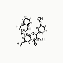 C#Cc1cccc(-c2oc3c([C@@H](C)Nc4cccnc4C)cc(C)cc3c(=O)c2C)c1